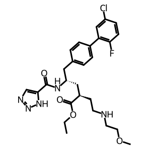 CCOC(=O)[C@H](CCNCCOC)C[C@@H](Cc1ccc(-c2cc(Cl)ccc2F)cc1)NC(=O)c1cnn[nH]1